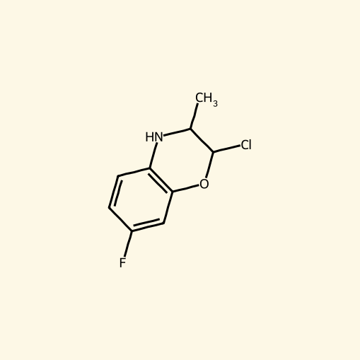 CC1Nc2ccc(F)cc2OC1Cl